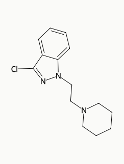 Clc1nn(CCN2CCCCC2)c2ccccc12